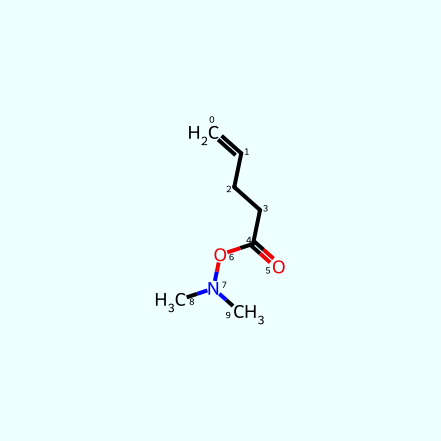 C=CCCC(=O)ON(C)C